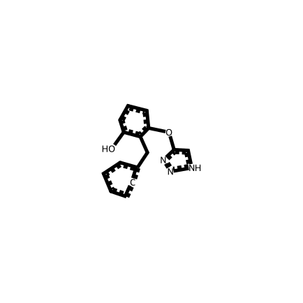 Oc1cccc(Oc2c[nH]nn2)c1Cc1ccccc1